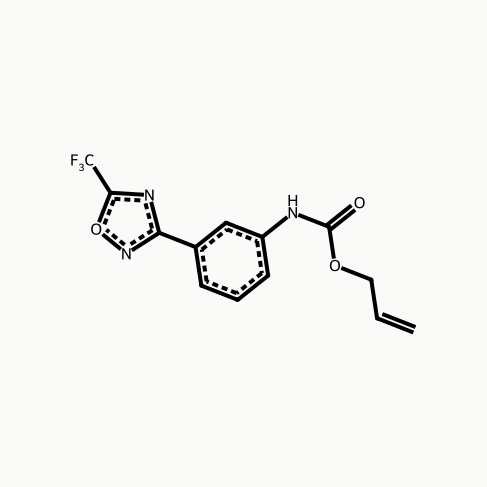 C=CCOC(=O)Nc1cccc(-c2noc(C(F)(F)F)n2)c1